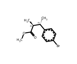 COC(=O)[C@@H](C)[C@H](C)c1ccc(Br)cc1